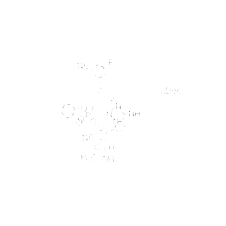 CCCCCCCCCCCCCCCCCOC[C@H](COP(=O)(OC[C@@]1(C#N)O[C@@H](c2ccc3c(N)ncnn23)C[C@@H]1OC(C)(C)O)Oc1ccccc1Cl)OCc1cc(F)cc(C#N)c1